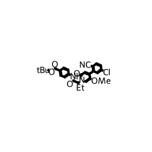 CCC(C(=O)Nc1ccc(C(=O)OC(C)(C)C)cc1)n1cc(OC)c(-c2cc(Cl)ccc2C#N)cc1=O